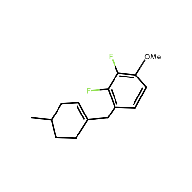 COc1ccc(CC2=CCC(C)CC2)c(F)c1F